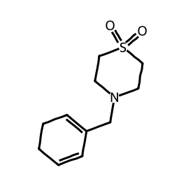 O=S1(=O)CCN(CC2=CCCC=C2)CC1